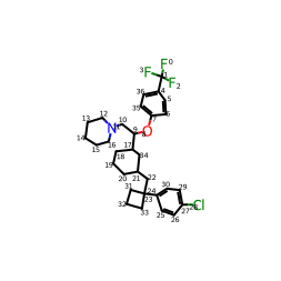 FC(F)(F)c1ccc(OC(CN2CCCCC2)C2CCCC(CC3(c4ccc(Cl)cc4)CCC3)C2)cc1